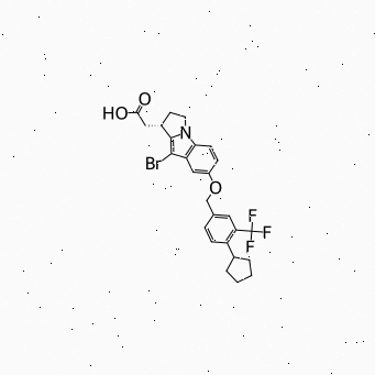 O=C(O)C[C@@H]1CCn2c1c(Br)c1cc(OCc3ccc(C4CCCC4)c(C(F)(F)F)c3)ccc12